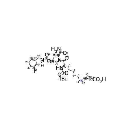 CC(C)(C)OC(=O)N[C@@H](CCCCC/C=C\[C@@H]1C[C@@H]1C(=O)O)C(=O)N1C[C@H](OC(=O)N2Cc3cccc(F)c3C2)C[C@H]1C(N)=O